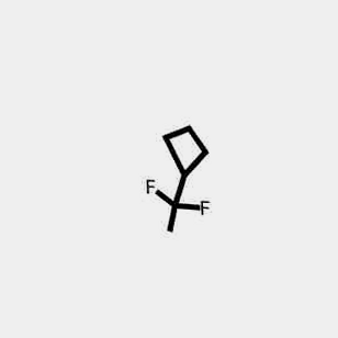 CC(F)(F)C1CCC1